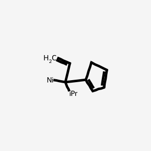 C=C[C]([Ni])(C1=CC=CC1)C(C)C